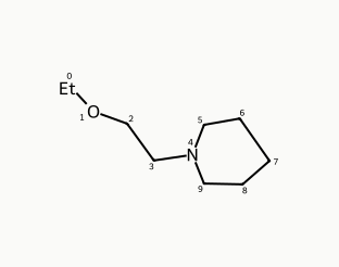 CCOCCN1CCCCC1